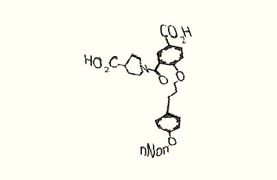 CCCCCCCCCOc1ccc(CCCOc2ccc(C(=O)O)cc2C(=O)N2CCC(C(=O)O)CC2)cc1